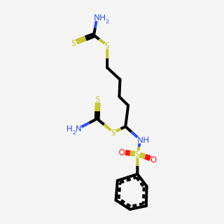 NC(=S)SCCCCC(NS(=O)(=O)c1ccccc1)SC(N)=S